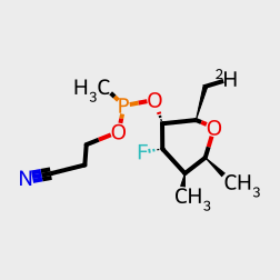 [2H]C[C@H]1O[C@@H](C)[C@@H](C)[C@H](F)[C@@H]1OP(C)OCCC#N